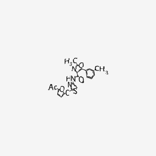 CC(=O)c1ccc(Cc2nc(NC(=O)c3nc(C)oc3-c3cccc(C)c3)cs2)o1